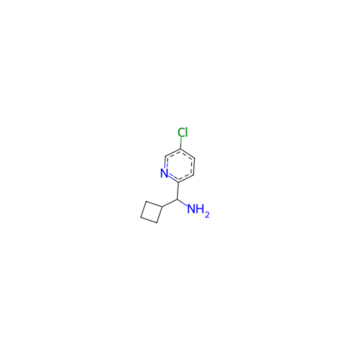 NC(c1ccc(Cl)cn1)C1CCC1